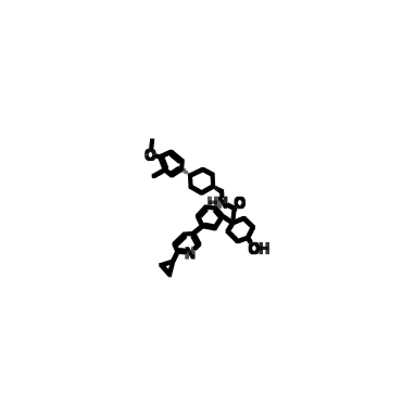 COc1ccc([C@H]2CC[C@H](CNC(=O)C3(c4cccc(-c5ccc(C6CC6)nc5)c4)CCC(O)CC3)CC2)cc1C